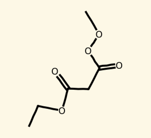 CCOC(=O)CC(=O)OOC